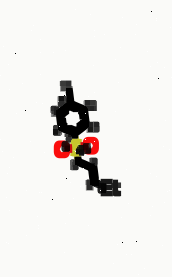 CCC=CCS(=O)(=O)c1ccc(C)cc1